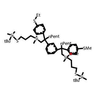 CCCCCC(C[Si](C)(C)CCCS[Si](C)(C)C(C)(C)C)(c1ccc(SCC)cc1)c1cccc(C(CCCCC)(C[Si](C)(CCCS[Si](C)(C)C(C)(C)C)OC)c2ccc(SC)cc2)c1